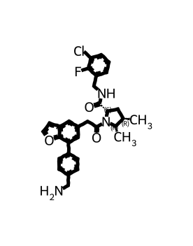 C[C@@H]1C[C@@H](C(=O)NCc2cccc(Cl)c2F)N(C(=O)Cc2cc(-c3ccc(CN)cc3)c3occc3c2)[C@@H]1C